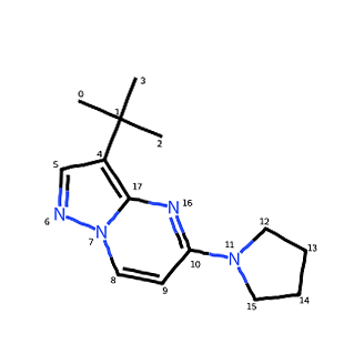 CC(C)(C)c1cnn2ccc(N3CCCC3)nc12